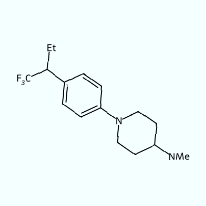 CCC(c1ccc(N2CCC(NC)CC2)cc1)C(F)(F)F